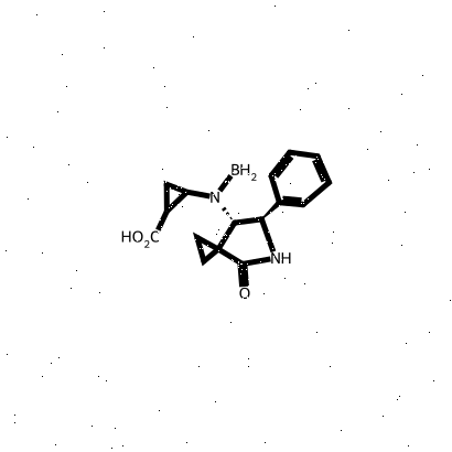 BN(C1CC1C(=O)O)[C@@H]1[C@@H](c2ccccc2)NC(=O)C12CC2